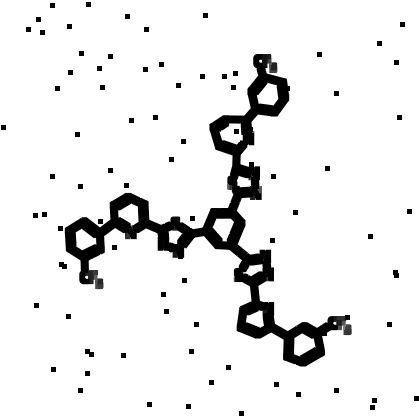 FC(F)(F)c1cccc(-c2cccc(-c3nnc(-c4cc(-c5nnc(-c6cccc(-c7cccc(C(F)(F)F)c7)n6)s5)cc(-c5nnc(-c6cccc(-c7cccc(C(F)(F)F)c7)n6)s5)c4)s3)n2)c1